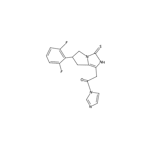 O=C(Cc1[nH]c(=S)n2c1CC(c1c(F)cccc1F)C2)n1ccnc1